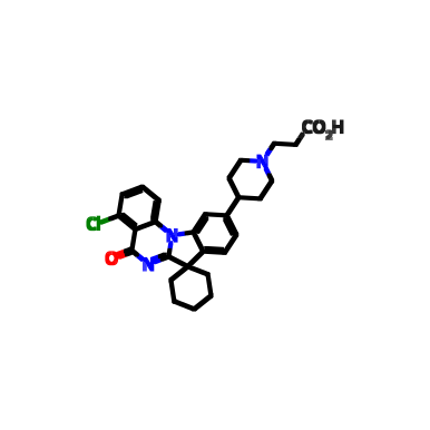 O=C(O)CCN1CCC(c2ccc3c(c2)-n2c(nc(=O)c4c(Cl)cccc42)C32CCCCC2)CC1